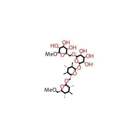 COC[C@H]1OC(OC[C@H]2O[C@@H](O[C@H]3OC(OC[C@H]4O[C@@H](OC)[C@H](O)[C@@H](O)[C@@H]4O)[C@H](O)[C@@H](O)[C@@H]3O)[C@H](C)[C@@H](C)[C@@H]2C)[C@H](C)[C@@H](C)[C@@H]1C